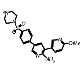 COc1ccc(-c2cc(-c3ccc(S(=O)(=O)N4CCNCC4)cc3)cnc2N)cn1